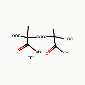 CCCC(=O)C(C)(C(=O)[O-])C(=O)[O-].CCCC(=O)C(C)(C(=O)[O-])C(=O)[O-].[Ti+4]